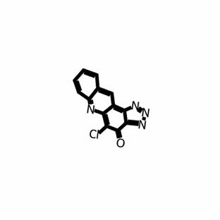 O=C1C2=NN=NC2=c2cc3ccccc3nc2=C1Cl